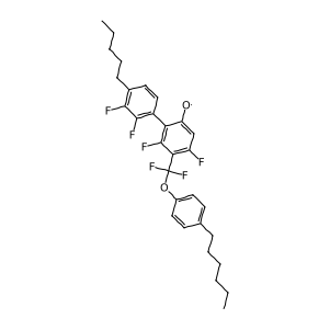 CCCCCCc1ccc(OC(F)(F)c2c(F)cc([O])c(-c3ccc(CCCCC)c(F)c3F)c2F)cc1